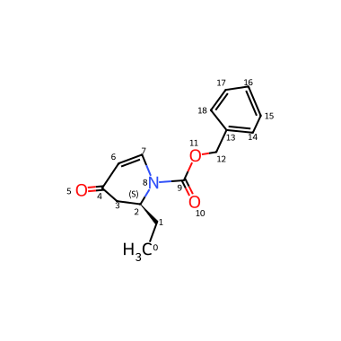 CC[C@H]1CC(=O)C=CN1C(=O)OCc1ccccc1